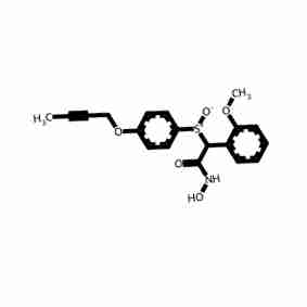 CC#CCOc1ccc([S+]([O-])C(C(=O)NO)c2ccccc2OC)cc1